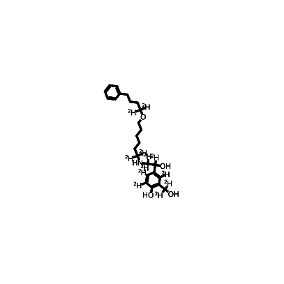 [2H]c1c([2H])c(C([2H])(O)C([2H])([2H])NC([2H])([2H])CCCCCOC([2H])([2H])CCCc2ccccc2)c([2H])c(C([2H])([2H])O)c1O